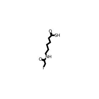 O=C(S)CCCCCNC(=O)CI